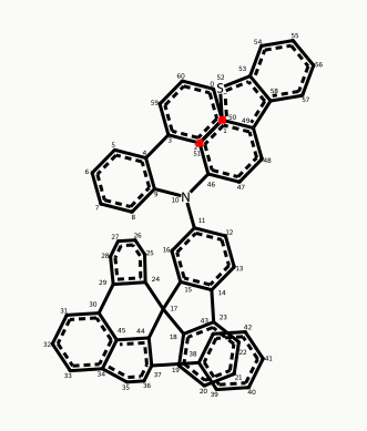 c1ccc(-c2ccccc2N(c2ccc3c(c2)C2(c4ccccc4-3)c3ccccc3-c3cccc4ccc(-c5ccccc5)c2c34)c2ccc3c(c2)sc2ccccc23)cc1